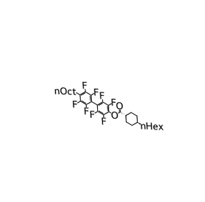 CCCCCCCCc1c(F)c(F)c(-c2c(F)c(F)c(OC(=O)[C@H]3CC[C@H](CCCCCC)CC3)c(F)c2F)c(F)c1F